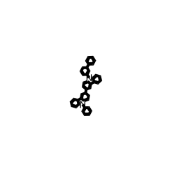 C1=CC2C3=CC(c4ccc5c(c4)c4ccccc4n5C4=CC(c5ccccc5)CC=C4)CC=C3N(c3ccccc3)C2C=C1